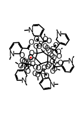 COS(=O)(=O)OC1(OC(=O)C2=CC=CN(C)C2)C(OC(=O)C2=CC=CN(C)C2)(OS(=O)(=O)OC)[C@](OC(=O)C2=CC=CN(C)C2)(OS(=O)(=O)OC)[C@@](OC(=O)C2=CC=CN(C)C2)(OS(=O)(=O)OC)[C@](OC(=O)C2=CC=CN(C)C2)(OS(=O)(=O)OC)[C@]1(OC(=O)C1=CC=CN(C)C1)OS(=O)(=O)OC